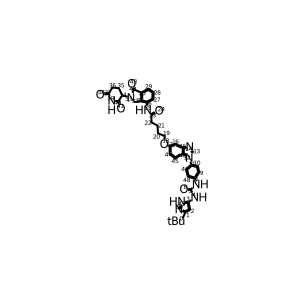 CC(C)(C)c1cc(NC(=O)Nc2ccc(-n3cnc4cc(OCCCCC(=O)Nc5cccc6c5CN(C5CCC(=O)NC5=O)C6=O)ccc43)cc2)[nH]n1